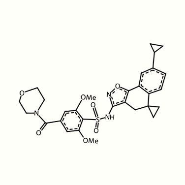 COc1cc(C(=O)N2CCOCC2)cc(OC)c1S(=O)(=O)Nc1noc2c1CC1(CC1)c1ccc(C3CC3)cc1-2